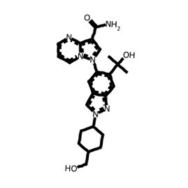 CC(C)(O)c1cc2nn(C3CCC(CO)CC3)cc2cc1-n1cc(C(N)=O)c2nccc[n+]21